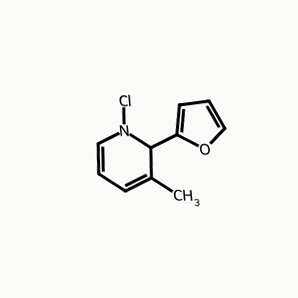 CC1=CC=CN(Cl)C1c1ccco1